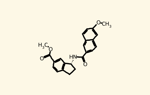 COC(=O)c1ccc2c(c1)[C@H](NC(=O)c1ccc3cc(OC)ccc3c1)CC2